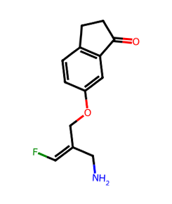 NC/C(=C/F)COc1ccc2c(c1)C(=O)CC2